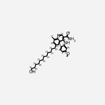 COc1cccc(Nc2c(C(N)=O)cnc3c(C)cc(CCCCCCCCCCCCO)cc23)c1